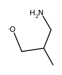 CC(CN)C[O]